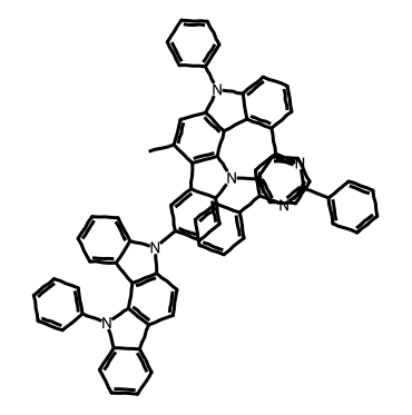 Cc1cc2c(c3c(-c4cc(-c5ccccc5)nc(-c5ccccc5)n4)cccc3n2-c2ccccc2)c2c1c1cc(-n3c4ccccc4c4c3ccc3c5ccccc5n(-c5ccccc5)c34)ccc1n2-c1ccccc1